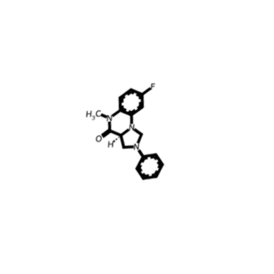 CN1C(=O)[C@@H]2CN(c3ccccc3)CN2c2cc(F)ccc21